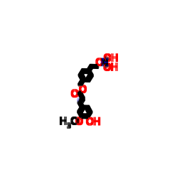 COc1cc(/C=C/C(=O)OCc2ccc(CCON(O)O)cc2)ccc1O